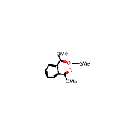 COC(=O)c1ccccc1C(=O)OC.CSC